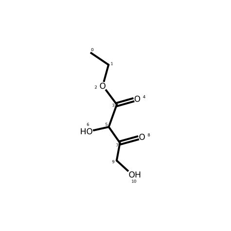 CCOC(=O)C(O)C(=O)CO